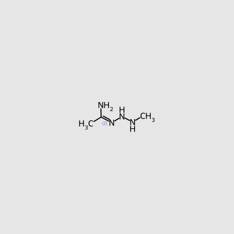 CNN/N=C(/C)N